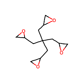 C1OC1CC(CC1CO1)(CC1CO1)CC1CO1